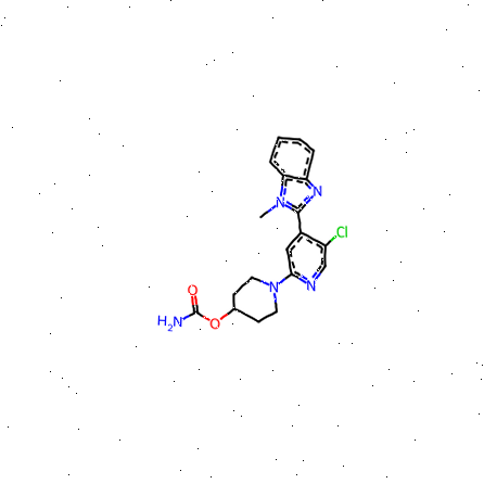 Cn1c(-c2cc(N3CCC(OC(N)=O)CC3)ncc2Cl)nc2ccccc21